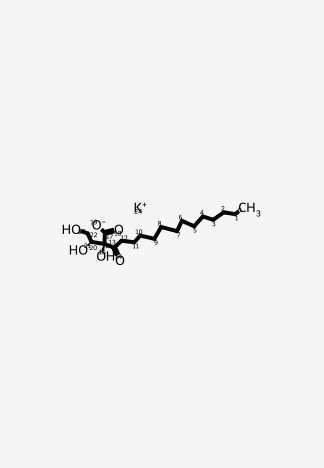 CCCCCCCCCCCCCC(=O)[C@@](O)(C(=O)[O-])[C@H](O)CO.[K+]